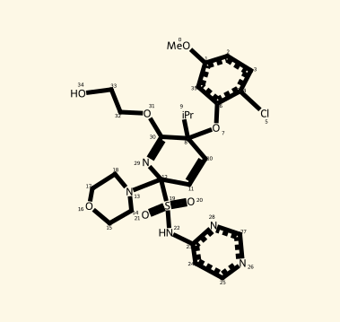 COc1ccc(Cl)c(OC2(C(C)C)C=CC(N3CCOCC3)(S(=O)(=O)Nc3ccncn3)N=C2OCCO)c1